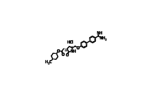 CC1CCC(OC(=O)C[C@@H]2C[C@@H](COc3ccc(-c4ccc(C(=N)N)cc4)cc3)NC2=O)CC1.Cl